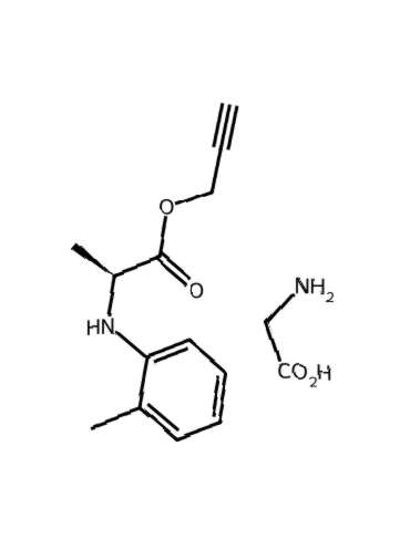 C#CCOC(=O)[C@H](C)Nc1ccccc1C.NCC(=O)O